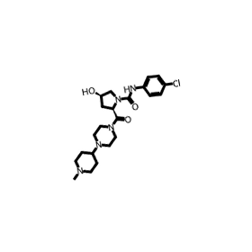 CN1CCC(N2CCN(C(=O)[C@H]3C[C@@H](O)CN3C(=O)Nc3ccc(Cl)cc3)CC2)CC1